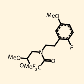 COc1ccc(F)c(CCN(CC(OC)OC)C(=O)C(F)(F)F)c1